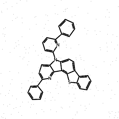 c1ccc(-c2cccc(-n3c4ccc(-c5ccccc5)nc4c4c5sc6ccccc6c5ccc43)n2)cc1